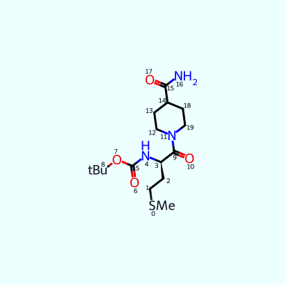 CSCC[C@@H](NC(=O)OC(C)(C)C)C(=O)N1CCC(C(N)=O)CC1